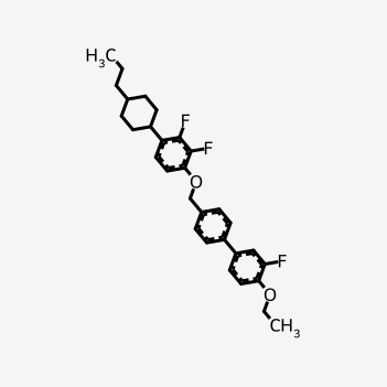 CCCC1CCC(c2ccc(OCc3ccc(-c4ccc(OCC)c(F)c4)cc3)c(F)c2F)CC1